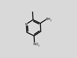 Bc1cc([N+](=O)[O-])cnc1C